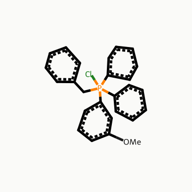 COc1cccc(P(Cl)(Cc2ccccc2)(c2ccccc2)c2ccccc2)c1